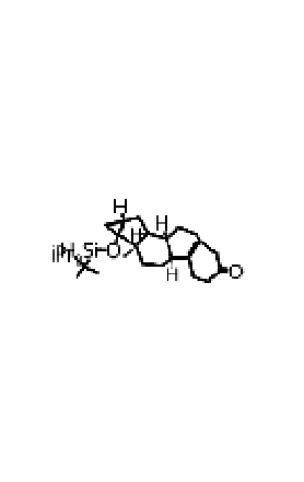 CC(C)C(C)(C)[SiH2]O[C@@]12C[C@@H]1C[C@H]1[C@@H]3CCC4=C(CCC(=O)C4)[C@H]3CC[C@@]12C